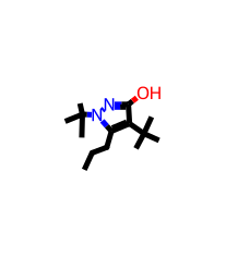 CCCc1c(C(C)(C)C)c(O)nn1C(C)(C)C